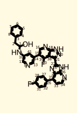 OC(Cc1ccccc1)Nc1cncc(-c2cnc3[nH]nc(-c4nc5c(-c6ccc(F)cc6)ccnc5[nH]4)c3c2F)c1